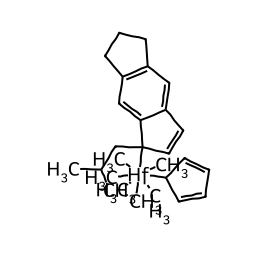 CC(C)C[C]1([Hf]([CH3])([CH3])([CH3])([CH3])([CH3])([CH3])[CH]2C=CC=C2)C=Cc2cc3c(cc21)CCC3